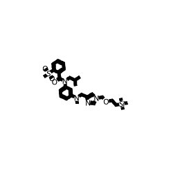 CC(C)CN(C(=O)c1ccccc1S(C)(=O)=O)c1cccc(N(C)Cc2cn(COCC[Si](C)(C)C)cn2)c1